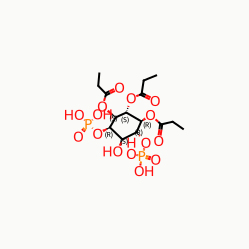 CCC(=O)O[C@@H]1[C@@H](OC(=O)CC)[C@H](OP(=O)(O)O)[C@@H](O)[C@@H](OP(=O)(O)O)[C@H]1OC(=O)CC